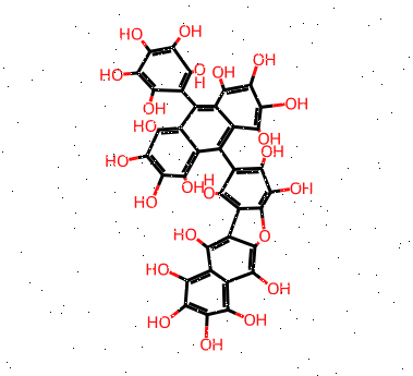 Oc1c(O)c(O)c(-c2c3c(O)c(O)c(O)c(O)c3c(-c3c(O)c(O)c4oc5c(O)c6c(O)c(O)c(O)c(O)c6c(O)c5c4c3O)c3c(O)c(O)c(O)c(O)c23)c(O)c1O